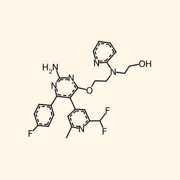 Cc1cc(-c2c(OCCN(CCO)c3ccccn3)nc(N)nc2-c2ccc(F)cc2)cc(C(F)F)n1